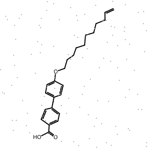 C=CCCCCCCCCCOc1ccc(-c2ccc(C(=O)O)cc2)cc1